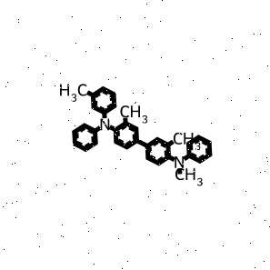 Cc1cccc(N(c2ccccc2)c2ccc(-c3ccc(N(C)c4ccccc4)c(C)c3)cc2C)c1